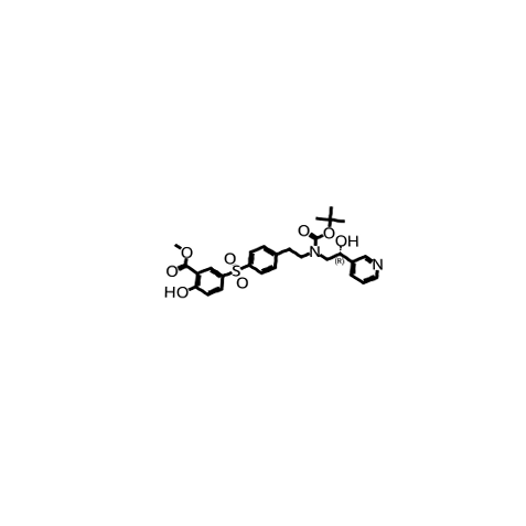 COC(=O)c1cc(S(=O)(=O)c2ccc(CCN(C[C@H](O)c3cccnc3)C(=O)OC(C)(C)C)cc2)ccc1O